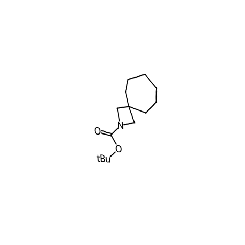 CC(C)(C)OC(=O)N1CC2(CCCCCC2)C1